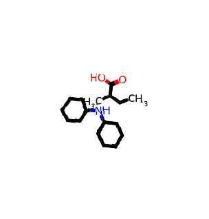 C1CCC(NC2CCCCC2)CC1.CCC(C)C(=O)O